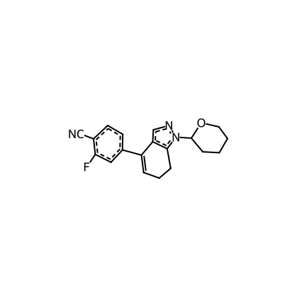 N#Cc1ccc(C2=CCCc3c2cnn3C2CCCCO2)cc1F